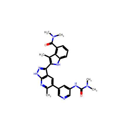 Cc1nc2[nH]nc(-c3[nH]c4cccc(C(=O)N(C)C)c4c3C)c2cc1-c1cncc(NC(=O)N(C)C)c1